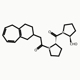 O=C[C@@H]1CCCN1C(=O)[C@@H]1CCCN1C(=O)CC1CCC2=C(C=CC=CC2)C1